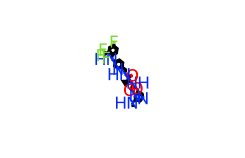 CNc1cncc(OC(=O)NC2(C(=O)NCc3ccc(Nc4ccc(F)cc4C(F)(F)F)cn3)CC2)n1